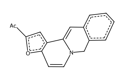 CC(=O)c1cc2c(o1)C=CN1Cc3ccccc3C=C21